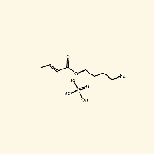 CC=CC(=O)OCCC[CH2][Na].O=P(O)(O)O